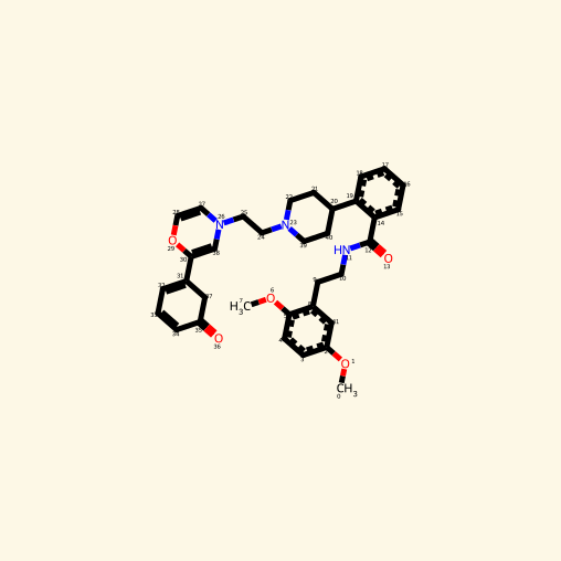 COc1ccc(OC)c(CCNC(=O)c2ccccc2C2CCN(CCN3C=COC(C4=CC=CC(=O)C4)=C3)CC2)c1